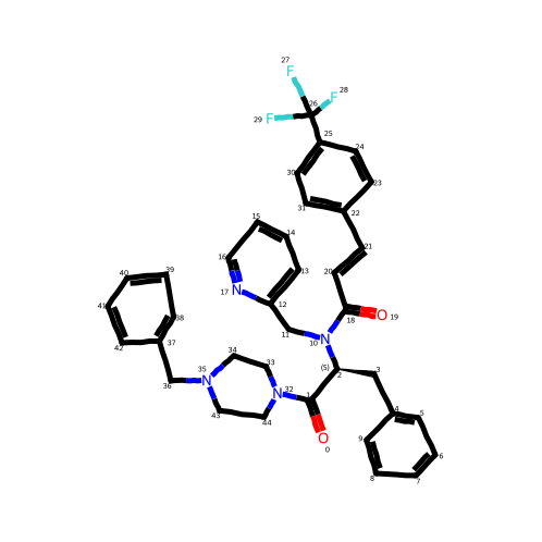 O=C([C@H](Cc1ccccc1)N(Cc1ccccn1)C(=O)C=Cc1ccc(C(F)(F)F)cc1)N1CCN(Cc2ccccc2)CC1